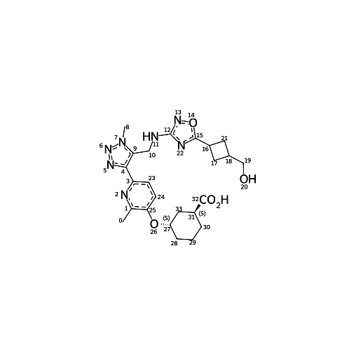 Cc1nc(-c2nnn(C)c2CNc2noc(C3CC(CO)C3)n2)ccc1O[C@H]1CCC[C@H](C(=O)O)C1